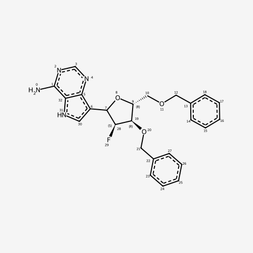 Nc1ncnc2c(C3O[C@H](COCc4ccccc4)[C@@H](OCc4ccccc4)[C@H]3F)c[nH]c12